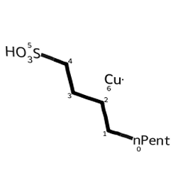 CCCCCCCCCS(=O)(=O)O.[Cu]